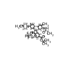 C=CC(=O)Nc1cc(-c2c(-c3ccnc(N4CCN(C)CC4)c3)n(OC(=O)C(F)(F)F)c3ncc(C(=O)OC(C)C)cc23)ccc1C